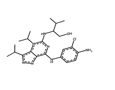 CC(C)c1nnc2c(Nc3ccc(N)c(Cl)c3)nc(NC(CO)C(C)C)n(C(C)C)c1-2